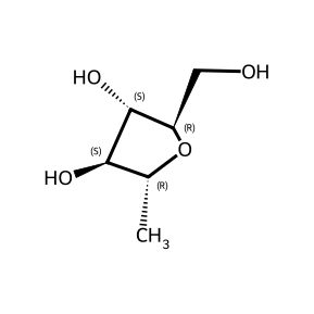 C[C@H]1O[C@H](CO)[C@@H](O)[C@@H]1O